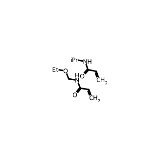 C=CC(=O)NC(C)C.C=CC(=O)NCOCC